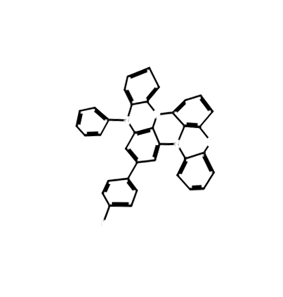 Fc1ccc(-c2cc3c4c(c2)N2c5ccccc5Sc5cccc(c52)B4c2ccccc2N3c2ccccc2)cc1